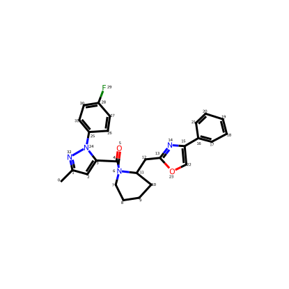 Cc1cc(C(=O)N2CCCCC2Cc2nc(-c3ccccc3)co2)n(-c2ccc(F)cc2)n1